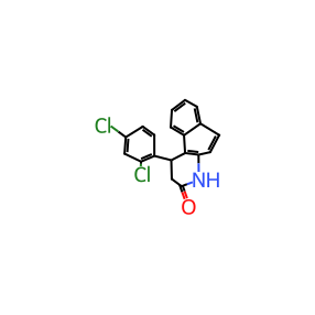 O=C1CC(c2ccc(Cl)cc2Cl)c2c(ccc3ccccc23)N1